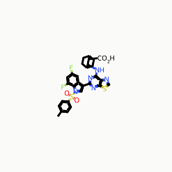 Cc1ccc(S(=O)(=O)n2cc(-c3nc(NC4C5CCC(CC5)C4C(=O)O)c4ncsc4n3)c3cc(F)cc(F)c32)cc1